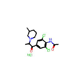 CC(=O)Nc1c(Cl)cc(C(=O)C(C)N2CCCC(C)C2)cc1Cl.Cl